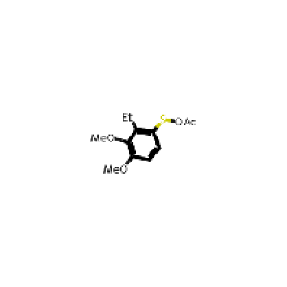 CCc1c(SOC(C)=O)ccc(OC)c1OC